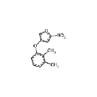 Cc1cccc(Oc2[c]oc([N+](=O)[O-])c2)c1C